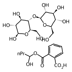 CCCC(O)OC(=O)c1ccccc1C(=O)O.OC[C@H]1O[C@@H](O[C@H]2[C@H](O)[C@@H](O)[C@H](O)O[C@@H]2CO)[C@H](O)[C@@H](O)[C@@H]1O